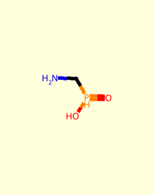 NC[PH](=O)O